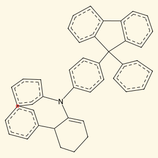 C1=C(N(c2ccccc2)c2ccc(C3(c4ccccc4)c4ccccc4-c4ccccc43)cc2)C(c2ccccc2)CCC1